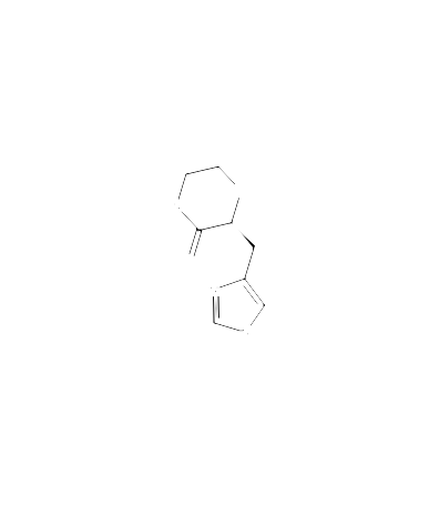 O=C1NCCO[C@H]1Cc1c[nH]cn1